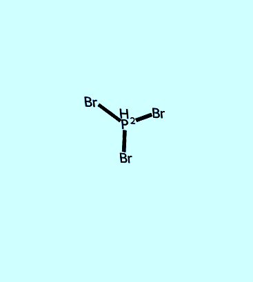 Br[PH2](Br)Br